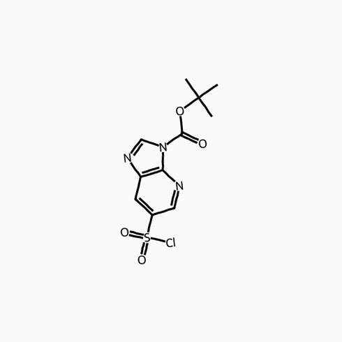 CC(C)(C)OC(=O)n1cnc2cc(S(=O)(=O)Cl)cnc21